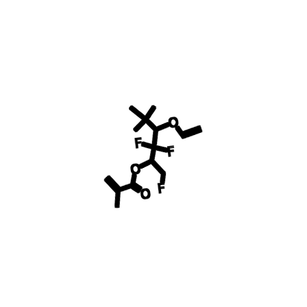 C=COC(C(C)(C)C)C(F)(F)C(CF)OC(=O)C(=C)C